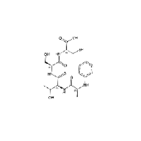 CC(O)[C@H](NC(=O)[C@H](C)Nc1ccccc1)C(=O)N[C@@H](CO)C(=O)N[C@@H](CS)C(=O)O